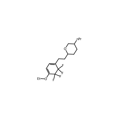 CCCC1CCC(CCC2=CC=C(OCC)C(F)(F)C2(F)F)OC1